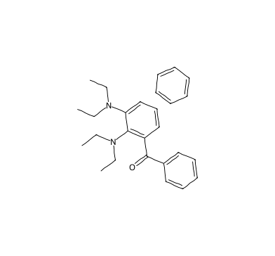 CCN(CC)c1cccc(C(=O)c2ccccc2)c1N(CC)CC.c1ccccc1